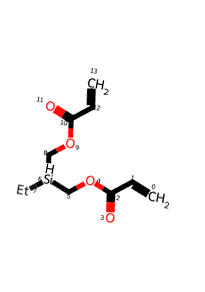 C=CC(=O)OC[SiH](CC)COC(=O)C=C